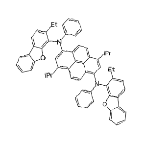 CCc1ccc2c(oc3ccccc32)c1N(c1ccccc1)c1cc(C(C)C)c2ccc3c(N(c4ccccc4)c4c(CC)ccc5c4oc4ccccc45)cc(C(C)C)c4ccc1c2c43